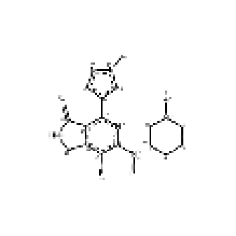 CC(=O)N1CCC[C@H](N(C)c2nc(-c3cnn(C)c3)c3c(c2F)CNC3=O)C1